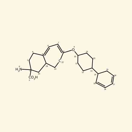 NC1(C(=O)O)CCC2=CC=C(OC3CCC(C4C=CC=CC4)CC3)CCC2C1